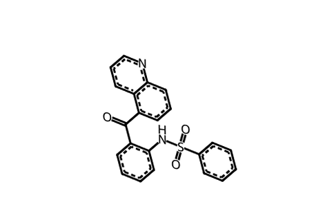 O=C(c1ccccc1NS(=O)(=O)c1ccccc1)c1cccc2ncccc12